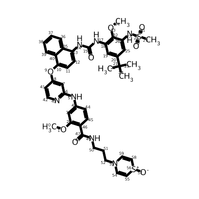 COc1cc(Nc2cc(Oc3ccc(NC(=O)Nc4cc(C(C)(C)C)cc(NS(C)(=O)=O)c4OC)c4ccccc34)ccn2)ccc1C(=O)NCCCN1C=C[S+]([O-])C=C1